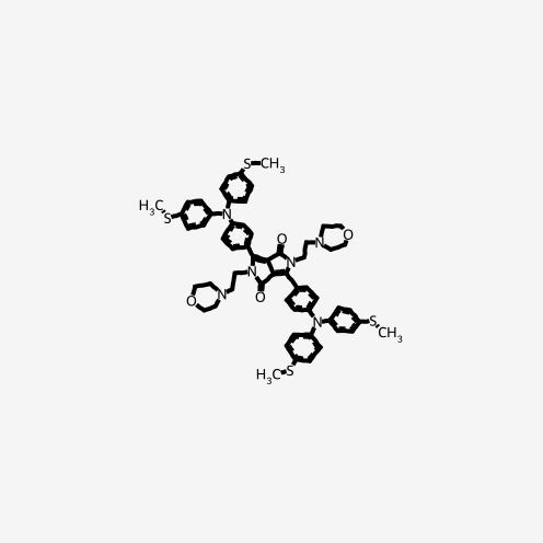 CSc1ccc(N(c2ccc(SC)cc2)c2ccc(C3=C4C(=O)N(CCN5CCOCC5)C(c5ccc(N(c6ccc(SC)cc6)c6ccc(SC)cc6)cc5)=C4C(=O)N3CCN3CCOCC3)cc2)cc1